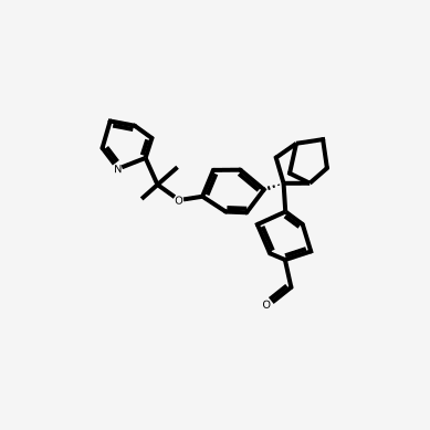 CC(C)(Oc1ccc([C@]2(c3ccc(C=O)cc3)CC3CCC2C3)cc1)c1ccccn1